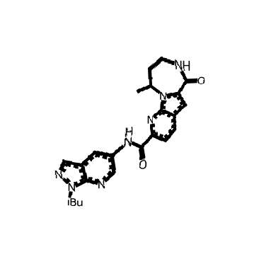 CCC(C)n1ncc2cc(NC(=O)c3ccc4cc5n(c4n3)C(C)CCNC5=O)cnc21